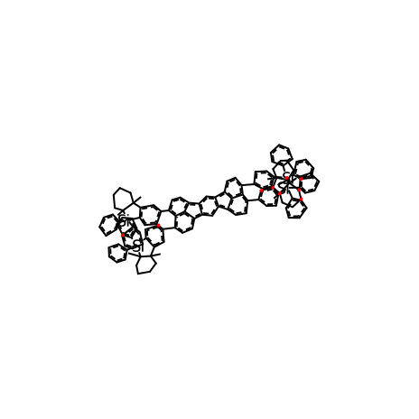 CC12CCCCC1(C)[Si](c1ccccc1)(c1ccccc1)c1ccc(-c3ccc4c5cc6c(cc5c5ccc(-c7ccc8c(c7)C7(C)CCCCC7(C)[Si]8(c7ccccc7)c7ccccc7)c3c45)c3ccc(-c4ccc5c(c4)C4(C)CCCCC4(C)[Si]5(c4ccccc4)c4ccccc4)c4c(-c5ccc7c(c5)C5(C)CCCCC5(C)[Si]7(c5ccccc5)c5ccccc5)ccc6c43)cc12